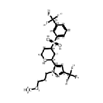 COCCCn1nc(C(F)(F)F)cc1C1CC(S(=O)(=O)c2cccc(C(F)(F)F)c2)CCO1